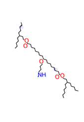 C/C=C/CCC(CCCCC)CCOC(=O)CCCCCCCC(CCCC/C=C/CC(=O)OCCC(CCCCC)CCCCCC)OCCCCNC